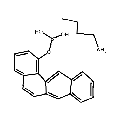 CCCCN.OB(O)Oc1cccc2ccc3cc4ccccc4cc3c12